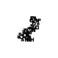 CCCCc1nc(Cl)c(COC(=O)C(C(C)C)N(C)C)n1Cc1ccc(-c2ccccc2-c2nn[nH]n2)cc1